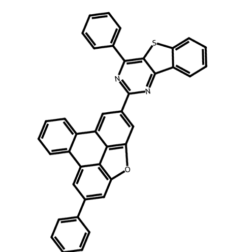 c1ccc(-c2cc3oc4cc(-c5nc(-c6ccccc6)c6sc7ccccc7c6n5)cc5c6ccccc6c(c2)c3c45)cc1